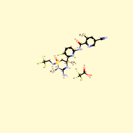 Cc1cc(C#N)cnc1C(=O)Nc1ccc(F)c([C@]2(C)CS(=O)(=NCC(F)(F)F)N(C)C(N)=N2)n1.O=C(O)C(F)(F)F